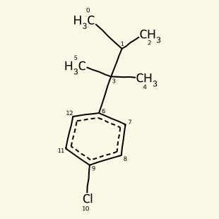 CC(C)C(C)(C)c1ccc(Cl)cc1